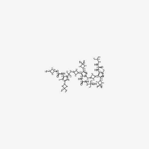 Cc1c(C2CC(F)(F)C2)nn(C(C)(C)CC2CC(c3c(C4CC(F)(F)C4)nn(CC4CC(c5c(C6CC(F)(F)C6)nn(C)c5NC(=O)NCC(C)C)C4)c3NC(=O)NCC(C)(C)O)C2)c1NC(=O)O[C@H]1C[C@@H](F)C1